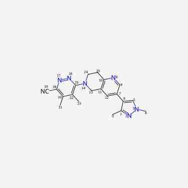 Cc1nn(C)cc1-c1cnc2c(c1)CN(c1nnc(C#N)c(C)c1C)CC2